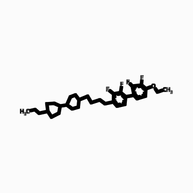 CCCC1CCC(C2CCC(CCCCc3ccc(-c4ccc(OCC)c(F)c4F)c(F)c3F)CC2)CC1